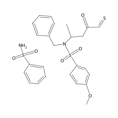 COc1ccc(S(=O)(=O)N(Cc2ccccc2)C(C)CC(=O)C=S)cc1.NS(=O)(=O)c1ccccc1